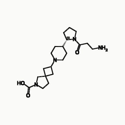 NCCC(=O)N1CCC[C@H]1C1CCN(C2CC3(CCN(C(=O)O)C3)C2)CC1